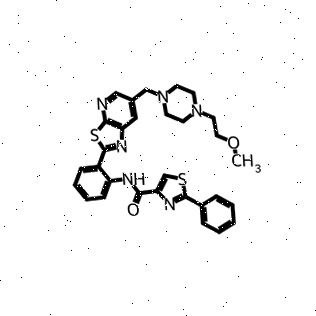 COCCN1CCN(Cc2cnc3sc(-c4ccccc4NC(=O)c4csc(-c5ccccc5)n4)nc3c2)CC1